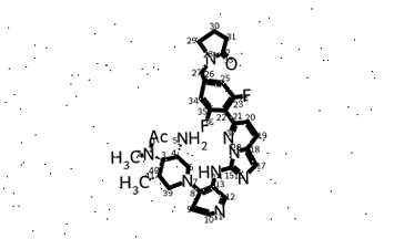 CC(=O)N(C)[C@@H]1[C@H](N)CN(c2ccncc2Nc2ncc3ccc(-c4c(F)cc(CN5CCCC5=O)cc4F)nn23)C[C@@H]1C